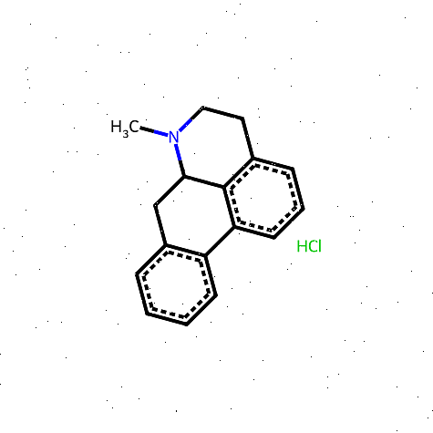 CN1CCc2cccc3c2C1Cc1ccccc1-3.Cl